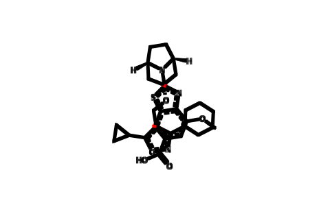 COc1cc(C(=O)O)cc2sc(N3[C@@H]4CC[C@H]3C[C@@H](OCc3c(C5CCCCC5)noc3C3CC3)C4)nc12